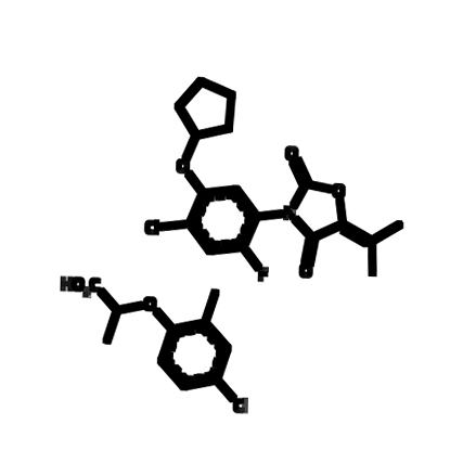 CC(C)=C1OC(=O)N(c2cc(OC3CCCC3)c(Cl)cc2F)C1=O.Cc1cc(Cl)ccc1OC(C)C(=O)O